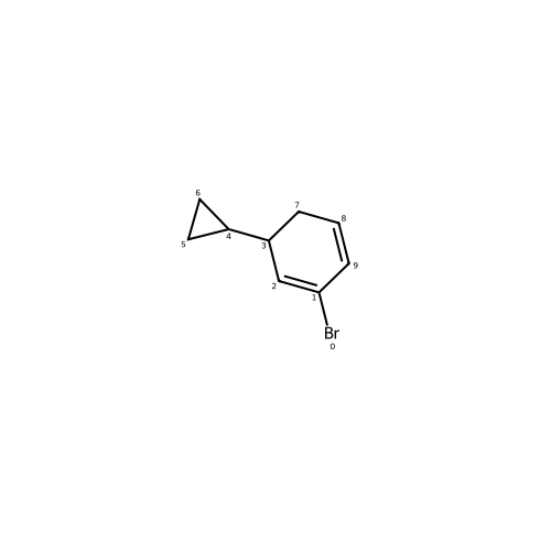 BrC1=CC(C2CC2)CC=C1